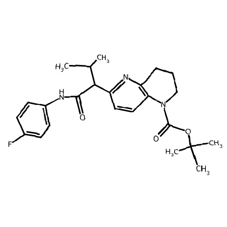 CC(C)C(C(=O)Nc1ccc(F)cc1)c1ccc2c(n1)CCCN2C(=O)OC(C)(C)C